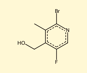 Cc1c(Br)ncc(F)c1CO